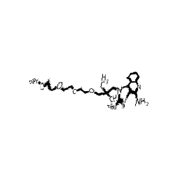 CCCCc1nc2c(N)nc3ccccc3c2n1CC(C)(C)COCCOCCOCCOCCC